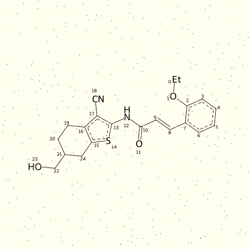 CCOc1ccccc1/C=C/C(=O)Nc1sc2c(c1C#N)CCC(CO)C2